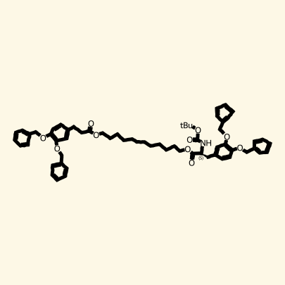 CC(C)(C)OC(=O)N[C@@H](Cc1ccc(OCc2ccccc2)c(OCc2ccccc2)c1)C(=O)OCCCCCCCCCCCCOC(=O)CCc1ccc(OCc2ccccc2)c(OCc2ccccc2)c1